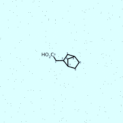 O=C(O)C[C]1CC2CCC1C2